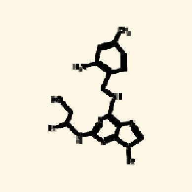 CCC(CO)Nc1nc(NCc2ccc(C)cc2N)c2ncn(CC)c2n1